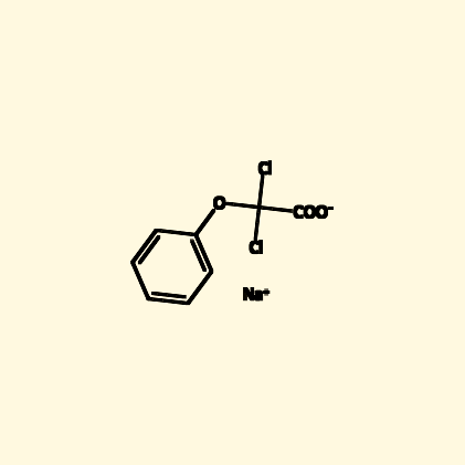 O=C([O-])C(Cl)(Cl)Oc1ccccc1.[Na+]